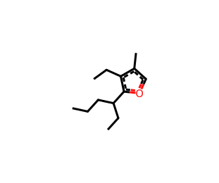 CCCC(CC)c1occ(C)c1CC